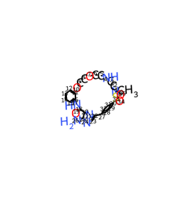 CN1CCNCCOCCOc2ccccc2NC(=O)c2nc(cnc2N)-c2ccc(cc2)S1(=O)=O